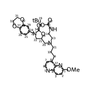 COc1ccc2nccc(CCCN(CCNC(=O)OC(C)(C)C)CC3CN(c4ccc5c(c4)OCCO5)C(=O)O3)c2n1